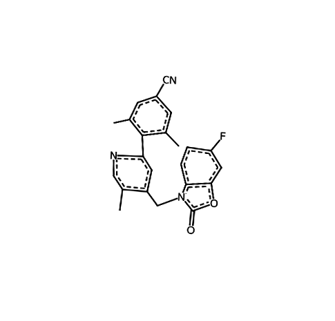 Cc1cnc(-c2c(C)cc(C#N)cc2C)cc1Cn1c(=O)oc2cc(F)ccc21